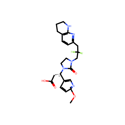 COc1ccc([C@H](CC(=O)O)N2CCN(CC(F)(F)Cc3ccc4c(n3)NCCC4)C2=O)cn1